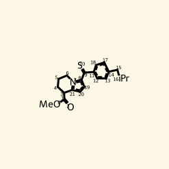 COC(=O)C1CCCn2c(C(=S)c3ccc(CC(C)C)cc3)ccc21